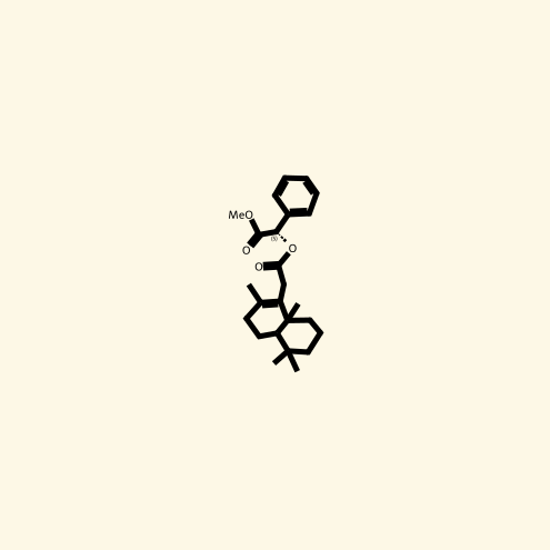 COC(=O)[C@@H](OC(=O)CC1=C(C)CCC2C(C)(C)CCCC12C)c1ccccc1